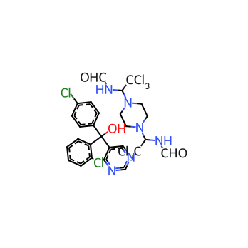 O=CNC(N1CCN(C(NC=O)C(Cl)(Cl)Cl)CC1)C(Cl)(Cl)Cl.OC(c1ccc(Cl)cc1)(c1cncnc1)c1ccccc1Cl